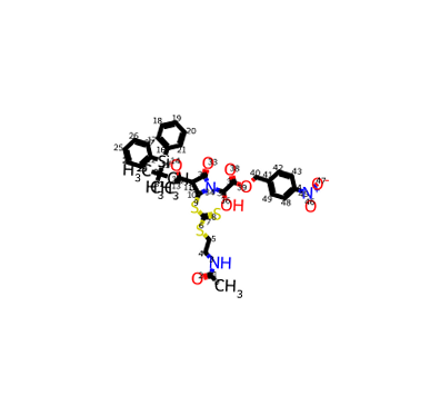 CC(=O)NCCSC(=S)SC1C(C(C)O[Si](c2ccccc2)(c2ccccc2)C(C)(C)C)C(=O)N1C(O)C(=O)OCc1ccc([N+](=O)[O-])cc1